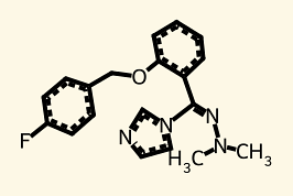 CN(C)N=C(c1ccccc1OCc1ccc(F)cc1)n1ccnc1